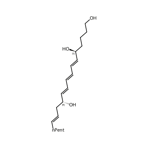 CCCCCC=CC[C@@H](O)C=CC=CC=C[C@@H](O)CCCCO